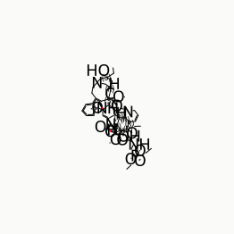 CCOP(=O)(CNC(=O)O[C@@H]1[C@]2(CC)C=CCN3CC[C@@]4(C5=CC([C@@]6(C(=O)OC)C[C@H]7CN(CCc8c6[nH]c6ccccc86)C[C@](O)(CC)C7)C(OC)C=C5N(C=O)[C@H]4[C@@]1(O)C(=O)OC)[C@@H]32)OCC